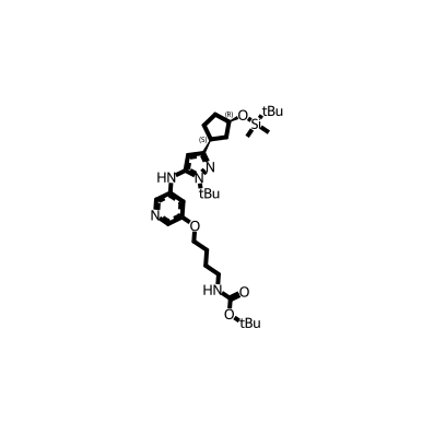 CC(C)(C)OC(=O)NCCCCOc1cncc(Nc2cc([C@H]3CC[C@@H](O[Si](C)(C)C(C)(C)C)C3)nn2C(C)(C)C)c1